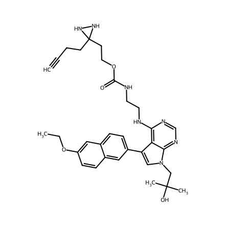 C#CCCC1(CCOC(=O)NCCNc2ncnc3c2c(-c2ccc4cc(OCC)ccc4c2)cn3CC(C)(C)O)NN1